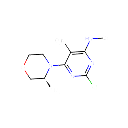 CCNc1nc(Cl)nc(N2CCOC[C@@H]2C)c1[N+](=O)[O-]